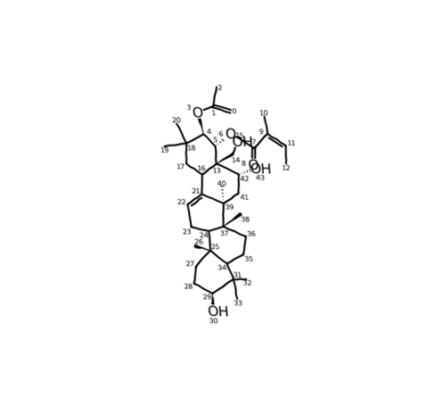 C=C(C)O[C@H]1[C@H](OC(=O)/C(C)=C\C)[C@@]2(CO)C(CC1(C)C)C1=CCC3[C@@]4(C)CC[C@H](O)C(C)(C)C4CC[C@@]3(C)[C@]1(C)C[C@H]2O